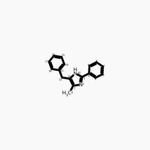 Cc1nc(-c2ccccc2)[nH]c1Cc1ccccc1